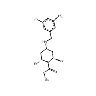 CC(C)[C@@H]1CC(NCc2cc(C(F)(F)F)cc(C(F)(F)F)c2)C[C@@H](C(C)C)N1C(=O)OC(C)(C)C